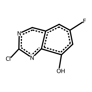 Oc1cc(F)cc2cnc(Cl)nc12